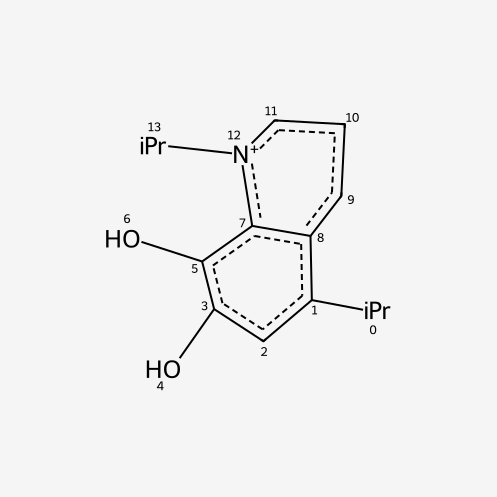 CC(C)c1cc(O)c(O)c2c1ccc[n+]2C(C)C